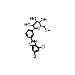 OC[C@H]1O[C@H](c2cccc(-c3nc4c(Cl)cc(Cl)cc4[nH]3)c2)[C@@H](O)[C@@H](O)[C@@H]1O